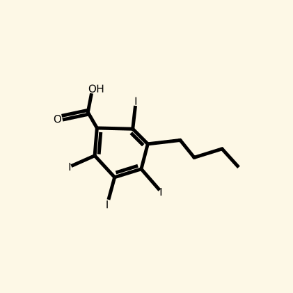 CCCCc1c(I)c(I)c(I)c(C(=O)O)c1I